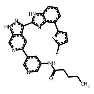 CCCCC(=O)Nc1cncc(-c2cc3c(-c4nc5c(-c6ccc(F)s6)cccc5[nH]4)n[nH]c3cn2)c1